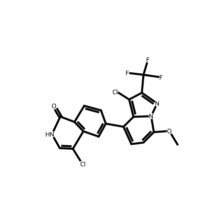 COc1ccc(-c2ccc3c(=O)[nH]cc(Cl)c3c2)c2c(Cl)c(C(F)(F)F)nn12